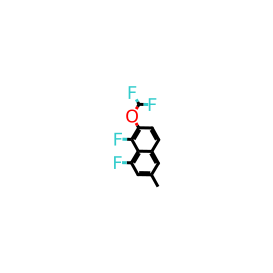 Cc1cc(F)c2c(F)c(OC(F)F)ccc2c1